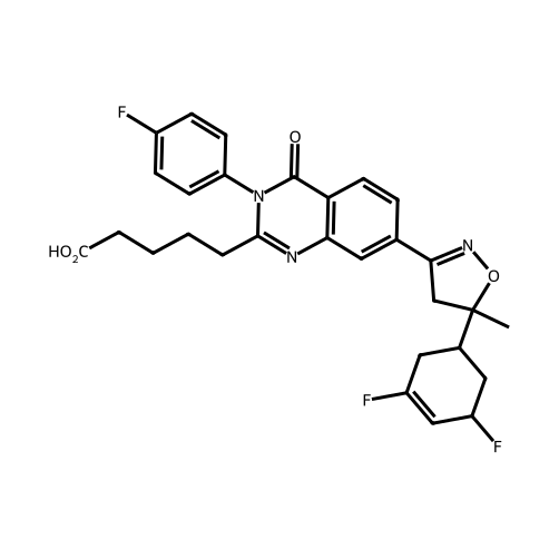 CC1(C2CC(F)=CC(F)C2)CC(c2ccc3c(=O)n(-c4ccc(F)cc4)c(CCCCC(=O)O)nc3c2)=NO1